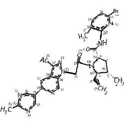 C=C[C@@H]1[C@@H](C)C[C@@H](C(=O)Nc2nc(Br)ccc2C)N1C(=O)Cn1nc(C(C)=O)c2cc(-c3cnc(C)nc3)ccc21